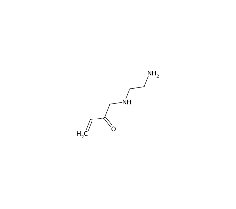 C=CC(=O)CNCCN